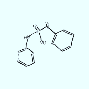 O=P(O)(Nc1ccccc1)Nc1ccccc1